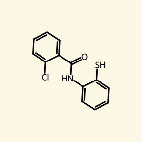 O=C(Nc1ccccc1S)c1ccccc1Cl